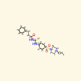 CN1CCN(S(=O)(=O)c2ccc(NC(=S)NC(=O)CCc3ccccc3)cc2)CC1